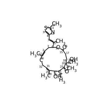 C/C1=C/C[C@@H](/C(C)=C/c2csc(C)n2)OC(=O)C[C@H](O)C(C)(C)C(=O)[C@H](C)[C@@H](O)/C(C)=C/CC1